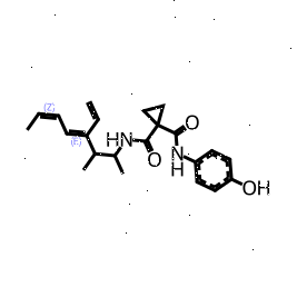 C=C/C(=C\C=C/C)C(C)C(C)NC(=O)C1(C(=O)Nc2ccc(O)cc2)CC1